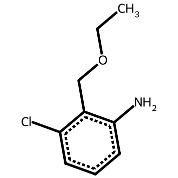 CCOCc1c(N)cccc1Cl